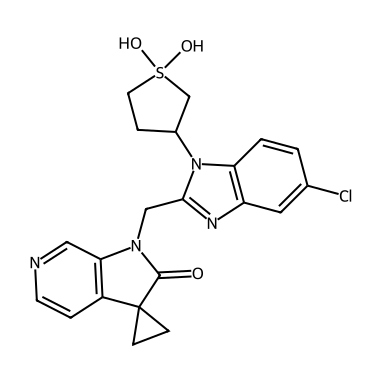 O=C1N(Cc2nc3cc(Cl)ccc3n2C2CCS(O)(O)C2)c2cnccc2C12CC2